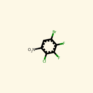 O=[N+]([O-])c1cc(Br)c(F)c(F)c1Cl